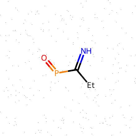 [CH2]CC(=N)P=O